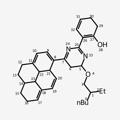 CCCCC(CC)COC1CC(C2=CC=C3CCC4CCC=C5C=CC2C3C54)=NC(C2=C(O)CCC=C2)=N1